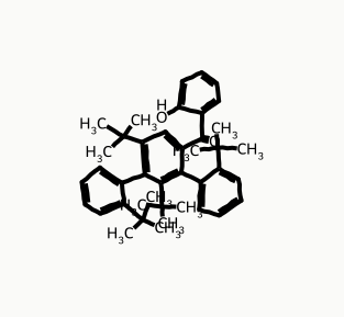 CC(C)(C)c1ccccc1-c1c(C(=O)c2ccccc2O)cc(C(C)(C)C)c(-c2ccccc2C(C)(C)C)c1C(C)(C)C